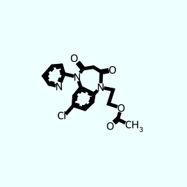 CC(=O)OCCN1C(=O)CC(=O)N(c2ccccn2)c2cc(Cl)ccc21